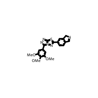 COc1cc(-c2nnc3sc(-c4ccc5c(c4)CN=C5)nn23)cc(OC)c1OC